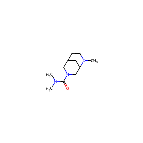 CN(C)C(=O)N1CC2CCN(C)C(C2)C1